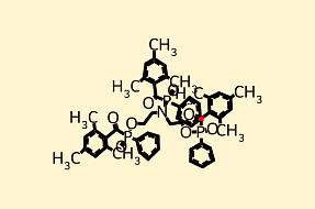 Cc1cc(C)c(C(=O)P(=O)(OCCN(CCOP(=O)(C(=O)c2c(C)cc(C)cc2C)c2ccccc2)P(=O)(C(=O)c2c(C)cc(C)cc2C)c2ccccc2)c2ccccc2)c(C)c1